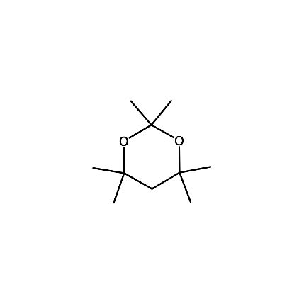 CC1(C)CC(C)(C)OC(C)(C)O1